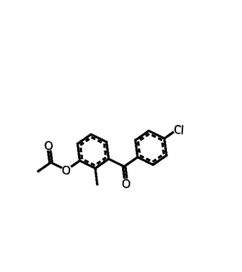 CC(=O)Oc1cccc(C(=O)c2ccc(Cl)cc2)c1C